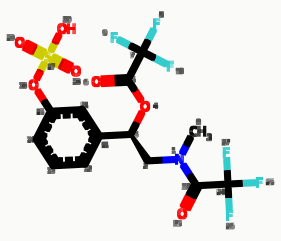 CN(C[C@H](OC(=O)C(F)(F)F)c1cccc(OS(=O)(=O)O)c1)C(=O)C(F)(F)F